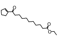 CCOC(=O)CCCCCCCCCC(=O)C1=CCCC1